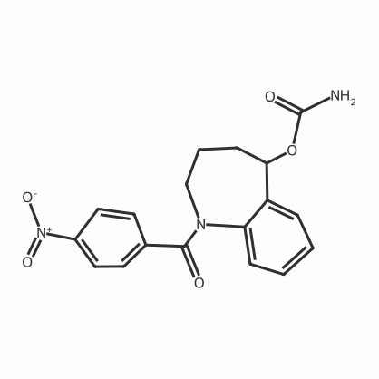 NC(=O)OC1CCCN(C(=O)c2ccc([N+](=O)[O-])cc2)c2ccccc21